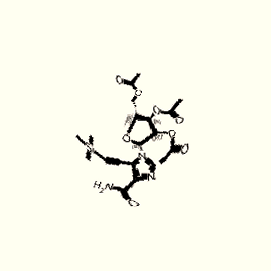 CC(=O)OC[C@H]1O[C@@H](n2cnc(C(N)=O)c2C#C[Si](C)(C)C)[C@H](OC(C)=O)[C@@H]1OC(C)=O